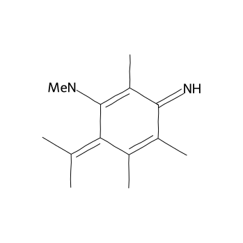 CNC1=C(C)C(=N)C(C)=C(C)C1=C(C)C